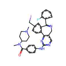 CN1CCC(N(C)C(=O)c2ccc(Nc3ncc4c(n3)-c3ccc(CI)cc3C(c3ccccc3F)=NC4)cc2)CC1